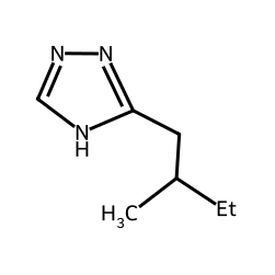 CCC(C)Cc1nnc[nH]1